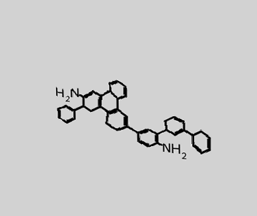 NC1=CC2=C(CC1c1ccccc1)C1=C(C=C(c3ccc(N)c(C4C=C(C5C=CC=CC5)C=CC4)c3)CC1)C1C=CC=CC21